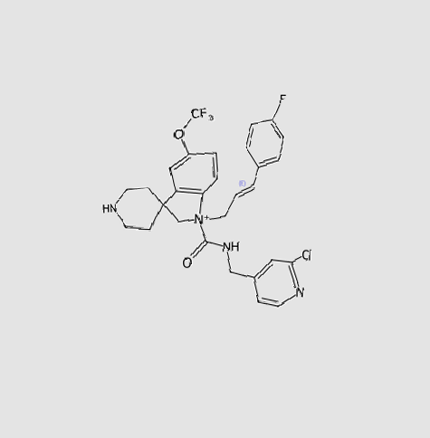 O=C(NCc1ccnc(Cl)c1)[N+]1(C/C=C/c2ccc(F)cc2)CC2(CCNCC2)c2cc(OC(F)(F)F)ccc21